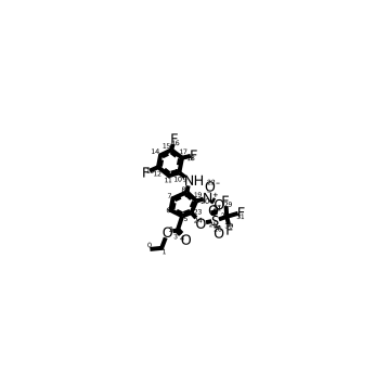 CCOC(=O)c1ccc(Nc2cc(F)cc(F)c2F)c([N+](=O)[O-])c1OS(=O)(=O)C(F)(F)F